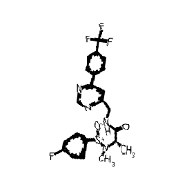 C[C@H](C(=O)NCc1cc(-c2ccc(C(F)(F)F)cc2)ncn1)N(C)[S+]([O-])c1ccc(F)cc1